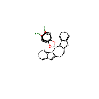 Clc1ccc([O][Zr]2([O]c3ccc(Cl)cc3)[CH]3C(=CC4=CCCC=C43)CCC3=CC4=CCCC=C4[CH]32)cc1